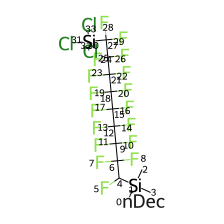 CCCCCCCCCC[Si](C)(C)C(F)C(F)(F)C(F)(F)C(F)(F)C(F)(F)C(F)(F)C(F)(F)C(F)(F)C(F)(F)[Si](Cl)(Cl)Cl